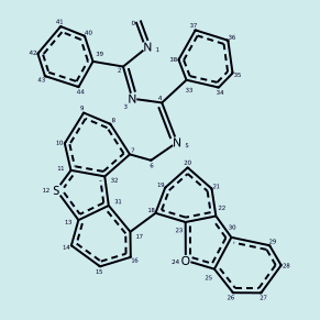 C=N/C(=N\C(=N/Cc1cccc2sc3cccc(-c4cccc5c4oc4ccccc45)c3c12)c1ccccc1)c1ccccc1